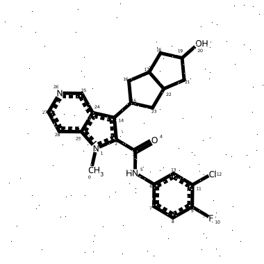 Cn1c(C(=O)Nc2ccc(F)c(Cl)c2)c(C2CC3CC(O)CC3C2)c2cnccc21